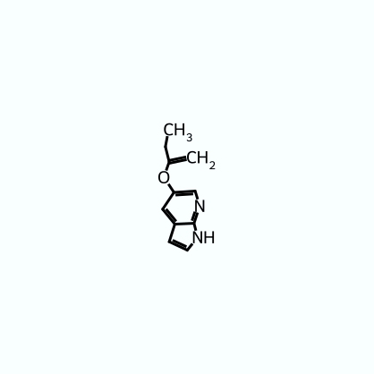 C=C(CC)Oc1cnc2[nH]ccc2c1